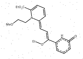 CCOC(=O)C1=CC=C/C(=C\C=C(/OCC)c2cccc(=O)[nH]2)N1CCOC